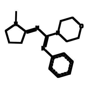 CN1CCC/C1=N\C(=N\c1ccccc1)N1CCOCC1